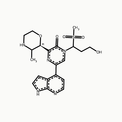 CC1NCCO[C@H]1c1nc(-c2ccnc3[nH]ccc23)cn(C(CCO)S(C)(=O)=O)c1=O